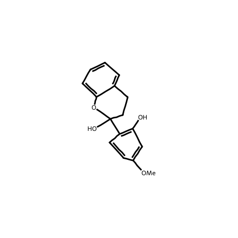 COc1ccc(C2(O)CCc3ccccc3O2)c(O)c1